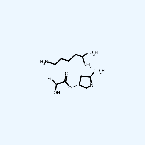 CCC(O)C(=O)O[C@H]1CN[C@H](C(=O)O)C1.NCCCCC(N)C(=O)O